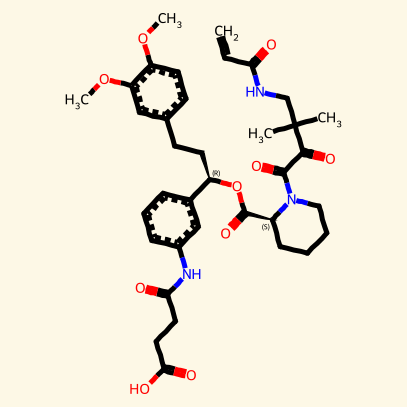 C=CC(=O)NCC(C)(C)C(=O)C(=O)N1CCCC[C@H]1C(=O)O[C@H](CCc1ccc(OC)c(OC)c1)c1cccc(NC(=O)CCC(=O)O)c1